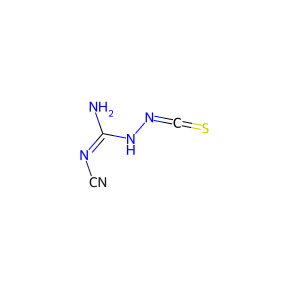 N#CN=C(N)NN=C=S